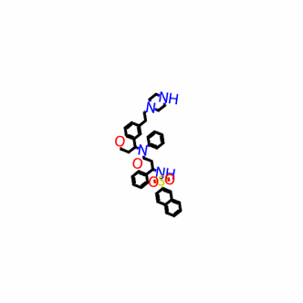 O=C(CC(NS(=O)(=O)c1ccc2ccccc2c1)c1ccccc1)N(c1ccccc1)C1CCOc2ccc(CCN3CCNCC3)cc21